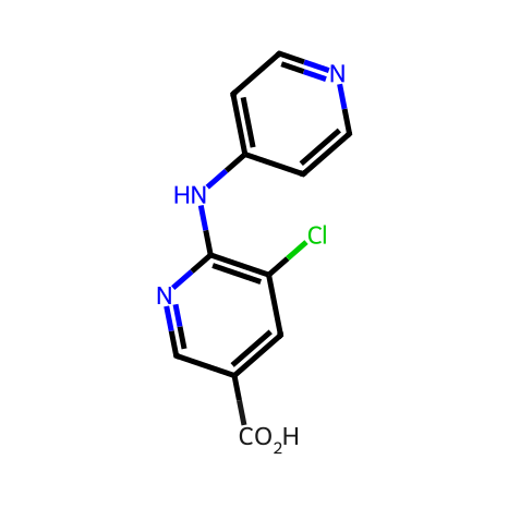 O=C(O)c1cnc(Nc2ccncc2)c(Cl)c1